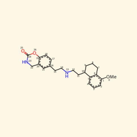 COc1cccc2c1CCCC2CCNCCc1ccc2c(c1)CNC(=O)O2